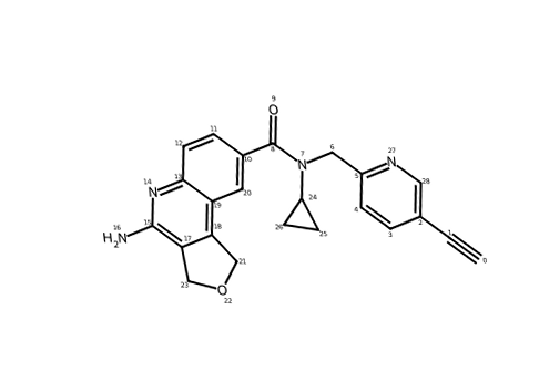 C#Cc1ccc(CN(C(=O)c2ccc3nc(N)c4c(c3c2)COC4)C2CC2)nc1